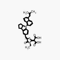 CCn1c(=C(C(=O)O)C(=O)O)s/c(=C\c2ccc3c(c2)C2CCCC2N3c2cccc3c(C=C(C)C)cccc23)c1=O